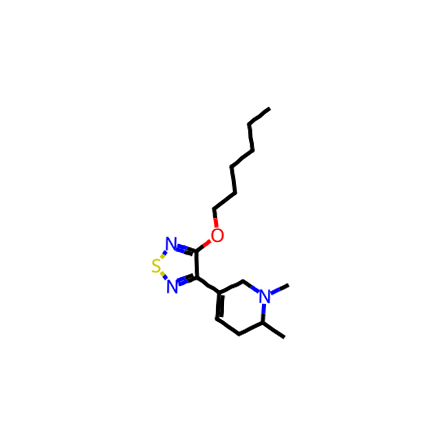 CCCCCCOc1nsnc1C1=CCC(C)N(C)C1